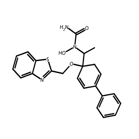 CC(N(O)C(N)=O)C1(OCc2nc3ccccc3s2)C=CC(c2ccccc2)=CC1